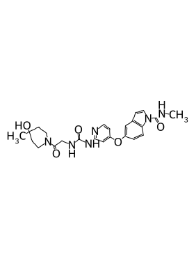 CNC(=O)n1ccc2cc(Oc3ccnc(NC(=O)NCC(=O)N4CCC(C)(O)CC4)c3)ccc21